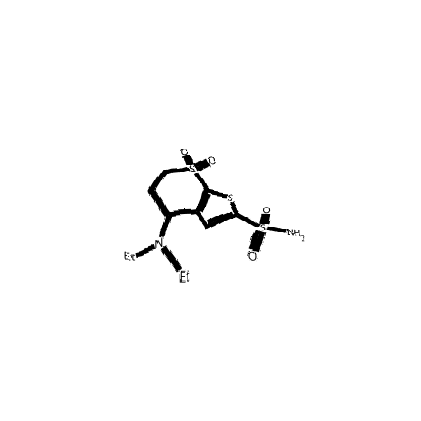 CCN(CC)C1CCS(=O)(=O)c2sc(S(N)(=O)=O)cc21